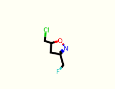 FCC1=NOC(CCl)C1